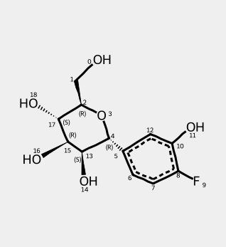 OC[C@H]1O[C@H](c2ccc(F)c(O)c2)[C@@H](O)[C@@H](O)[C@@H]1O